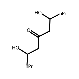 CCCC(O)CC(=O)CC(O)CCC